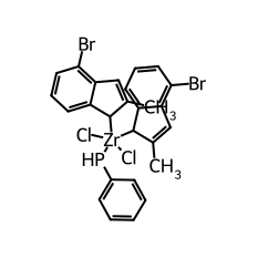 CC1=Cc2c(Br)cccc2[CH]1[Zr]([Cl])([Cl])([PH]c1ccccc1)[CH]1C(C)=Cc2c(Br)cccc21